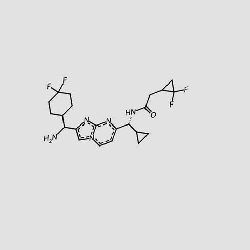 NC(c1cn2ccc([C@H](NC(=O)CC3CC3(F)F)C3CC3)nc2n1)C1CCC(F)(F)CC1